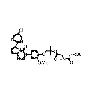 COc1cc(-n2cnc3ccc(-c4ncc(Cl)cn4)n3c2=O)ccc1OCC(C)(C)OC(=O)CNC(=O)OC(C)(C)C